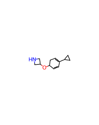 C1=CC(OC2CNC2)CC=C1C1CC1